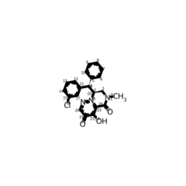 CN1C[C@H]([C@@H](c2ccccc2)c2cccc(Cl)c2)n2ncc(=O)c(O)c2C1=O